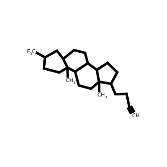 C#CCCC1CCC2C3CCC4CC(C(F)(F)F)CCC4(C)C3CCC12C